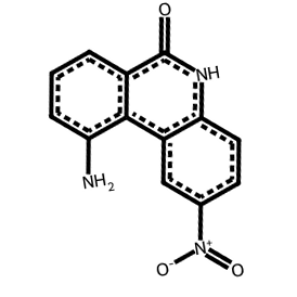 Nc1cccc2c(=O)[nH]c3ccc([N+](=O)[O-])cc3c12